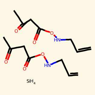 C=CCNOC(=O)CC(C)=O.C=CCNOC(=O)CC(C)=O.[SiH4]